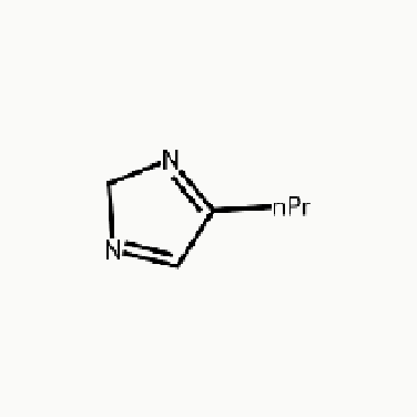 [CH2]CCC1=NCN=C1